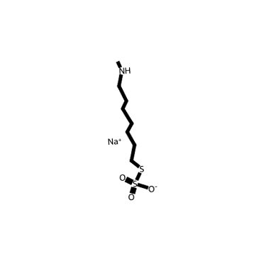 CNCCCCCCCSS(=O)(=O)[O-].[Na+]